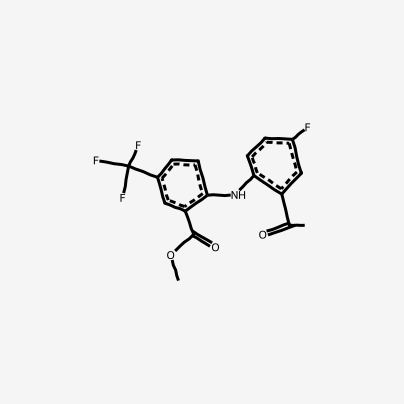 COC(=O)c1cc(C(F)(F)F)ccc1Nc1ccc(F)cc1C(C)=O